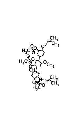 COc1cc(-c2ccc(C)c(N(CC=C(C)C)S(C)(=O)=O)c2)c(OC)c(OS(C)(=O)=O)c1-c1ccc(OCC=C(C)C)c(OS(C)(=O)=O)c1